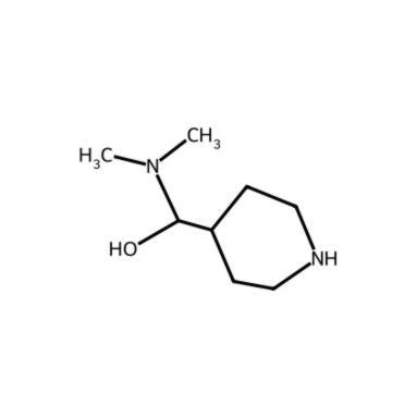 CN(C)C(O)C1CCNCC1